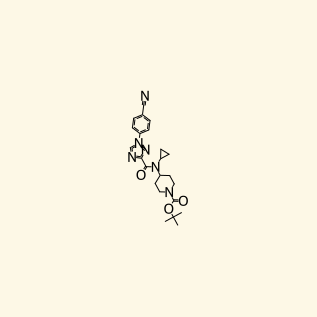 CC(C)(C)OC(=O)N1CCC(N(C(=O)c2ncn(-c3ccc(C#N)cc3)n2)C2CC2)CC1